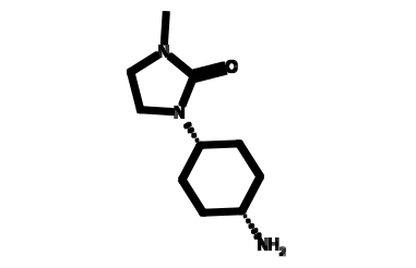 CN1CCN([C@H]2CC[C@@H](N)CC2)C1=O